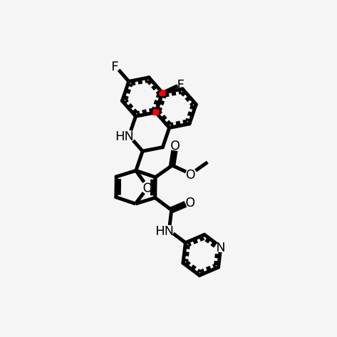 COC(=O)C1=C(C(=O)Nc2cccnc2)C2C=CC1(C(Cc1ccccc1)Nc1cc(F)cc(F)c1)O2